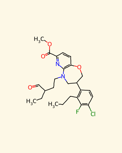 CCCc1c(C2COc3ccc(C(=O)OC)nc3N(CCC(C=O)CC)C2)ccc(Cl)c1F